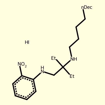 CCCCCCCCCCCCCCNC(CC)(CC)CNc1ccccc1[N+](=O)[O-].I